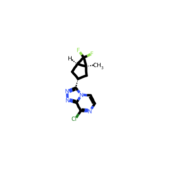 C[C@]12C[C@H](c3nnc4c(Cl)nccn34)C[C@H]1C2(F)F